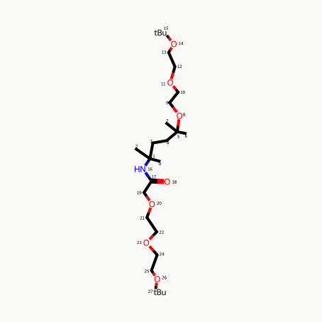 CC(C)(CCC(C)(C)OCCOCCOC(C)(C)C)NC(=O)COCCOCCOC(C)(C)C